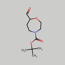 CC(C)(C)OC(=O)N1CCOC(C=O)CC1